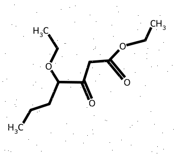 CCCC(OCC)C(=O)CC(=O)OCC